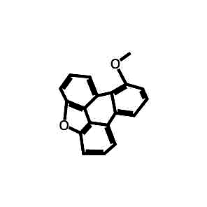 COc1cccc2c3cccc4oc5cccc(c12)c5c43